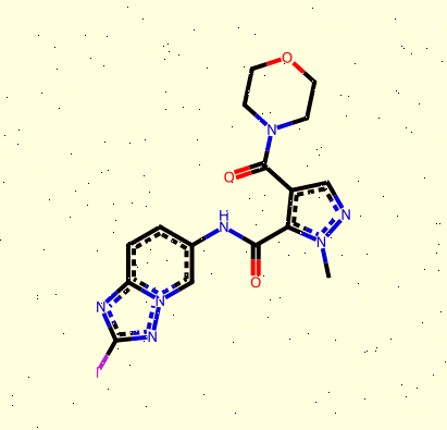 Cn1ncc(C(=O)N2CCOCC2)c1C(=O)Nc1ccc2nc(I)nn2c1